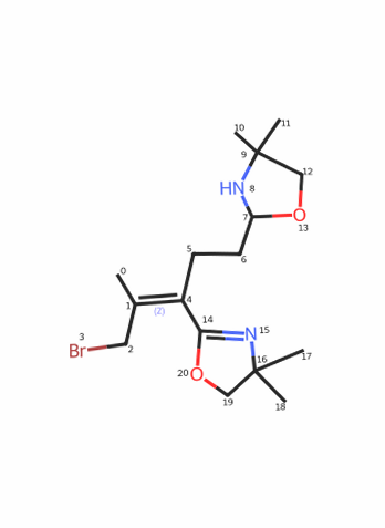 C/C(CBr)=C(\CCC1NC(C)(C)CO1)C1=NC(C)(C)CO1